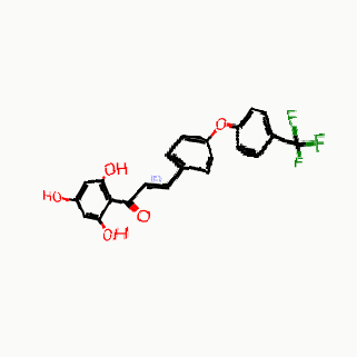 O=C(/C=C/c1ccc(Oc2ccc(C(F)(F)F)cc2)cc1)c1c(O)cc(O)cc1O